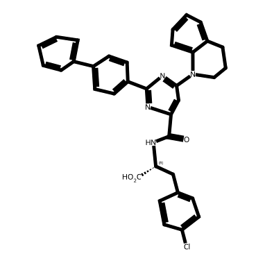 O=C(N[C@H](Cc1ccc(Cl)cc1)C(=O)O)c1cc(N2CCCc3ccccc32)nc(-c2ccc(-c3ccccc3)cc2)n1